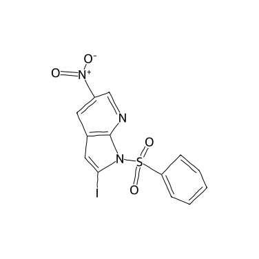 O=[N+]([O-])c1cnc2c(c1)cc(I)n2S(=O)(=O)c1ccccc1